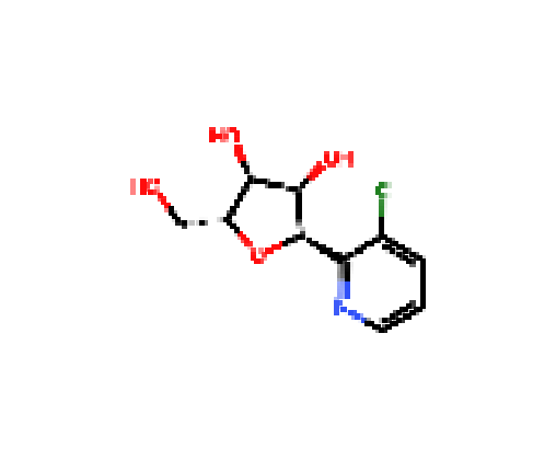 OC[C@H]1O[C@H](c2ncccc2Cl)[C@H](O)[C@@H]1O